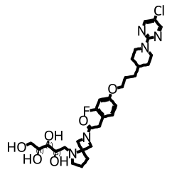 O=C(Cc1ccc(OCCCC2CCN(c3ncc(Cl)cn3)CC2)cc1F)N1CC2(CCCN2C[C@H](O)[C@H](O)[C@H](O)CO)C1